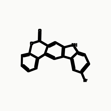 O=c1oc2ccccc2c2cc3c(cc12)[nH]c1ccc(Br)cc13